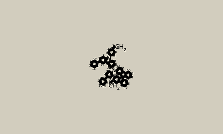 C=Cc1ccc(-n2c3ccc(-c4ccccc4)cc3c3cc(N(c4ccc(-c5ccccc5)cc4)c4ccc5c(c4)C(c4ccccc4)(c4ccc(C=C)cc4)c4ccccc4-5)ccc32)cc1